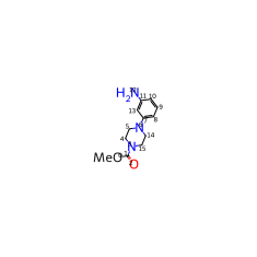 COC(=O)N1CCN(c2cccc(N)c2)CC1